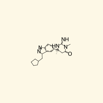 CN1C(=N)N[C@](C)(c2ccc3c(c2)C(CC2CCCC2)N=N3)CC1=O